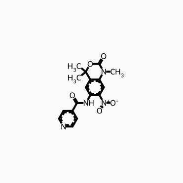 CN1C(=O)OC(C)(C)c2cc(NC(=O)c3ccncc3)c([N+](=O)[O-])cc21